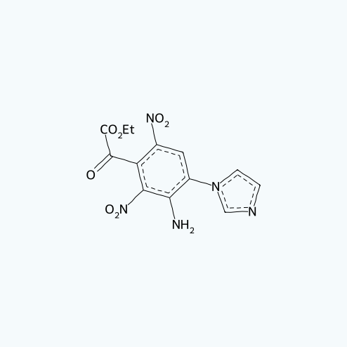 CCOC(=O)C(=O)c1c([N+](=O)[O-])cc(-n2ccnc2)c(N)c1[N+](=O)[O-]